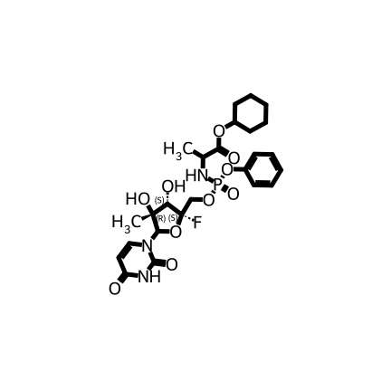 CC(NP(=O)(OC[C@@]1(F)OC(n2ccc(=O)[nH]c2=O)[C@](C)(O)[C@@H]1O)Oc1ccccc1)C(=O)OC1CCCCC1